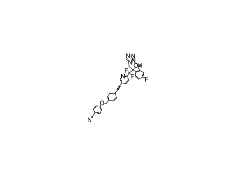 N#Cc1ccc(OCc2ccc(C#Cc3ccc(C(F)(F)C(O)(Cn4cnnn4)c4ccc(F)cc4F)nc3)cc2)cc1